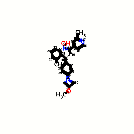 COC1CN(c2ccc([C@@H](CC(=NO)c3ccnc(C)c3)c3ccccc3C)cc2)C1